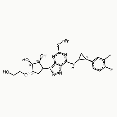 CCCSc1nc(NC2C[C@H]2c2ccc(F)c(F)c2)c2nnn(C3C[C@H](OCCO)[C@@H](O)[C@H]3O)c2n1